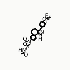 CC(=O)NC[C@H]1CN(c2ccc3c(c2)CCCc2c(-c4ccc(OC(F)(F)F)cc4)n[nH]c2-3)C(=O)O1